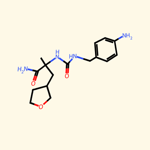 CC(CC1CCOC1)(NC(=O)NCc1ccc(N)cc1)C(N)=O